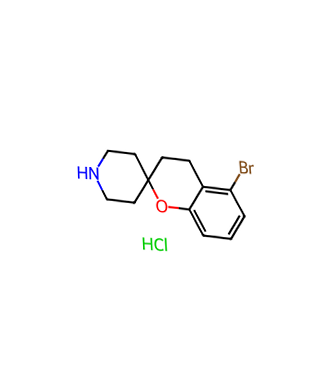 Brc1cccc2c1CCC1(CCNCC1)O2.Cl